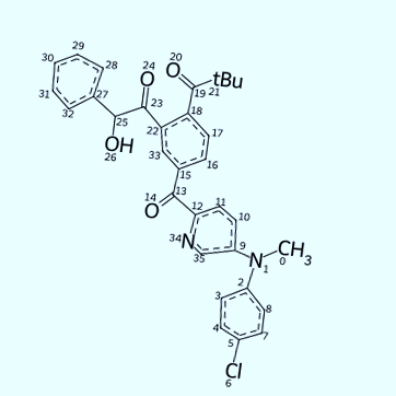 CN(c1ccc(Cl)cc1)c1ccc(C(=O)c2ccc(C(=O)C(C)(C)C)c(C(=O)C(O)c3ccccc3)c2)nc1